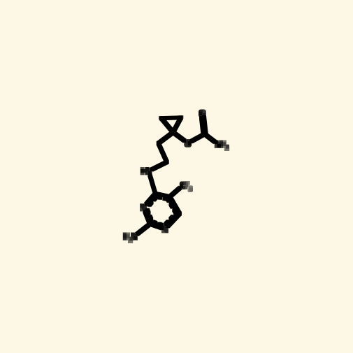 NC(=O)OC1(CCNc2nc(N)ncc2C(F)(F)F)CC1